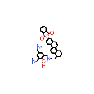 CC1CCCc2c1ccc1c2ccc2ccccc21.CN(C)Cc1cc(CN(C)C)c(O)c(CN(C)C)c1.O=C1OC(=O)c2ccccc21